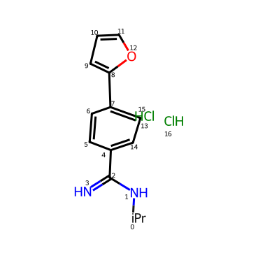 CC(C)NC(=N)c1ccc(-c2ccco2)cc1.Cl.Cl